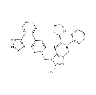 CCCCc1nc2cc(-c3ccccc3)c(C3OCCO3)nc2n1Cc1ccc(-c2ccccc2-c2nnn[nH]2)cc1